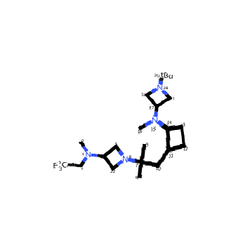 CN(CC(F)(F)F)C1CN(C(C)(C)CC2CCC2N(C)C2CN(C(C)(C)C)C2)C1